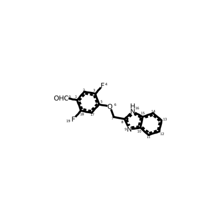 O=Cc1cc(F)c(OCc2nc3ccccc3[nH]2)cc1F